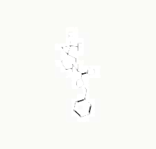 O=C(OCc1ccccc1)N1CC[C@@]2(C1)CC2(F)F